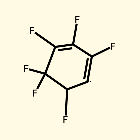 FC1=[C]C(F)C(F)(F)C(F)=C1F